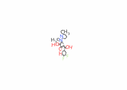 Cc1cccc(N(C)[C@@H]2C[C@H]([C@@H](O)c3ccc(F)c(F)c3)[C@@H](O)[C@H]2O)n1